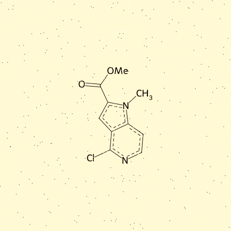 COC(=O)c1cc2c(Cl)nccc2n1C